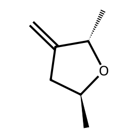 C=C1C[C@H](C)O[C@H]1C